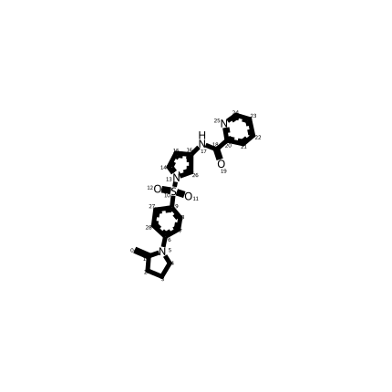 C=C1CCCN1c1ccc(S(=O)(=O)n2ccc(NC(=O)c3ccccn3)c2)cc1